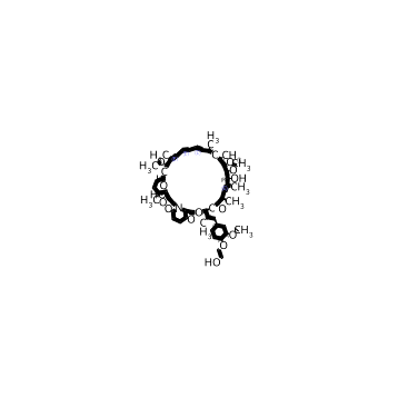 CO[C@H]1C[C@@H]2CC[C@@H](C)[C@@](O)(O2)C(=O)C(=O)N2CCCCC2C(=O)O[C@H]([C@H](C)C[C@@H]2CC[C@@H](OCCO)[C@@H](OC)C2)CC(=O)[C@H](C)/C=C(\C)[C@@H](O)[C@@H](OC)C(=O)[C@@H](C)C[C@@H](C)/C=C/C=C/C=C/1C